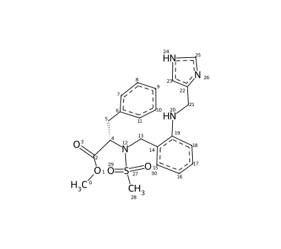 COC(=O)[C@H](Cc1ccccc1)N(Cc1ccccc1NCc1c[nH]cn1)S(C)(=O)=O